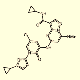 CNc1cc(Nc2cc(Cl)cn(-c3ccn(C4CC4)n3)c2=O)nc2c(C(=O)NC3CC3)cnn12